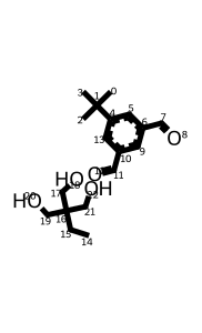 CC(C)(C)c1cc(C=O)cc(C=O)c1.CCC(CO)(CO)CO